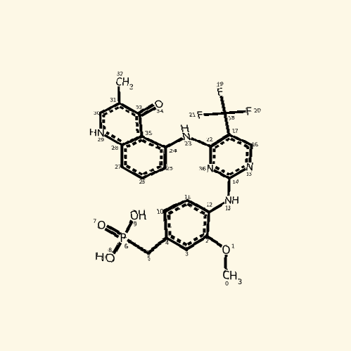 COc1cc(CP(=O)(O)O)ccc1Nc1ncc(C(F)(F)F)c(Nc2cccc3[nH]cc(C)c(=O)c23)n1